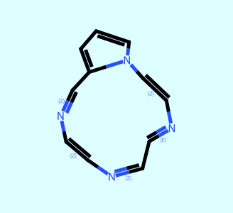 C1=C\N=C/c2cccn2/C=C\N=C\C=N/1